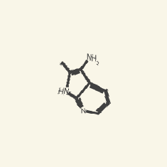 Cc1[nH]c2ncccc2c1N